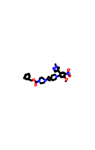 COc1cc(N2CCC3(CC2)CC(N2CCN(C(=O)OCc4ccccc4)CC2)C3)c(-c2cnn(C)c2)cc1[N+](=O)[O-]